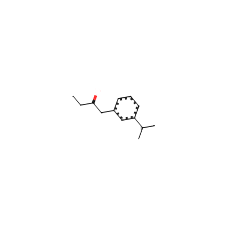 CCC(=O)Cc1cccc(C(C)C)c1